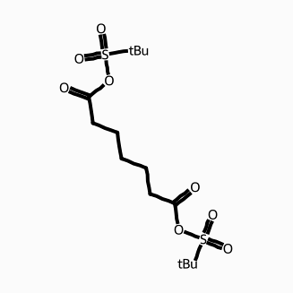 CC(C)(C)S(=O)(=O)OC(=O)CCCCCC(=O)OS(=O)(=O)C(C)(C)C